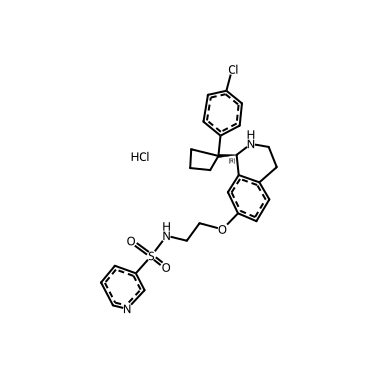 Cl.O=S(=O)(NCCOc1ccc2c(c1)[C@@H](C1(c3ccc(Cl)cc3)CCC1)NCC2)c1cccnc1